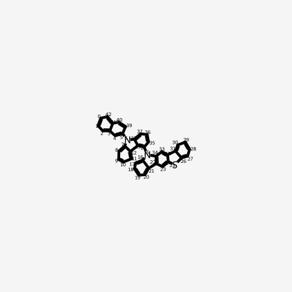 c1ccc2cc(-n3c4ccccc4c4c(-n5c6ccccc6c6cc7sc8ccccc8c7cc65)cccc43)ccc2c1